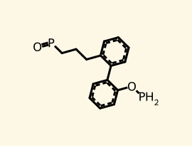 O=PCCCc1ccccc1-c1ccccc1OP